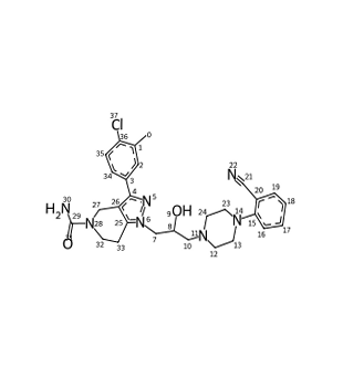 Cc1cc(-c2nn(CC(O)CN3CCN(c4ccccc4C#N)CC3)c3c2CN(C(N)=O)CC3)ccc1Cl